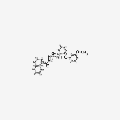 COc1cccc(Oc2ccccc2NC(=O)CNC(=O)c2cccc3ccccc23)c1